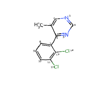 Cc1cn[c]nc1-c1cccc(Cl)c1Cl